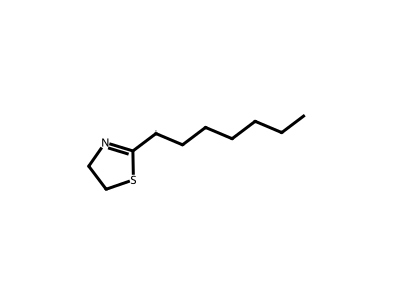 CCCCCC[CH]C1=NCCS1